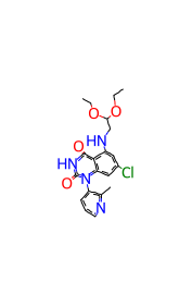 CCOC(CNc1cc(Cl)cc2c1c(=O)[nH]c(=O)n2-c1cccnc1C)OCC